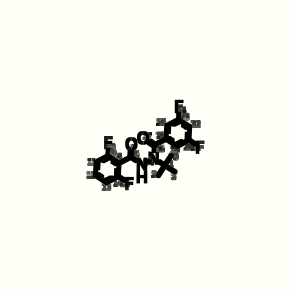 CC(C)(C)N(NC(=O)c1c(F)cccc1F)C(=O)c1cc(F)cc(F)c1